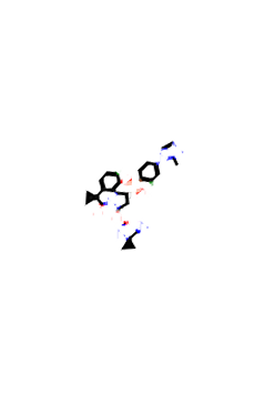 Cc1nccn1-c1ccc(S(=O)(=O)[C@@H]2C[C@H](OC(=O)NC3(C#N)CC3)N(C(=O)C3(c4ccc(Cl)cc4)CC3)C2)c(Cl)c1